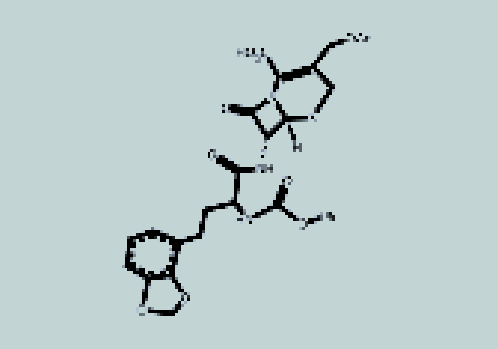 CC(=O)OCC1=C(C(=O)O)N2C(=O)[C@@H](NC(=O)C(CCc3cccc4c3OCO4)NC(=O)OC(C)(C)C)[C@H]2SC1